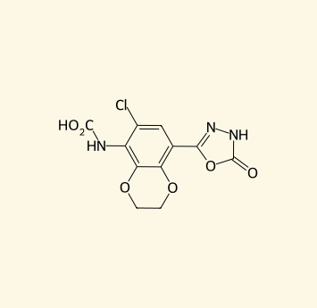 O=C(O)Nc1c(Cl)cc(-c2n[nH]c(=O)o2)c2c1OCCO2